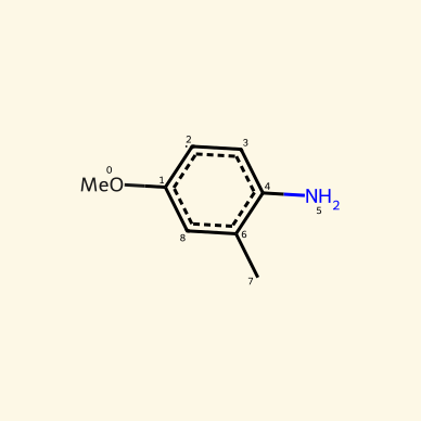 COc1[c]cc(N)c(C)c1